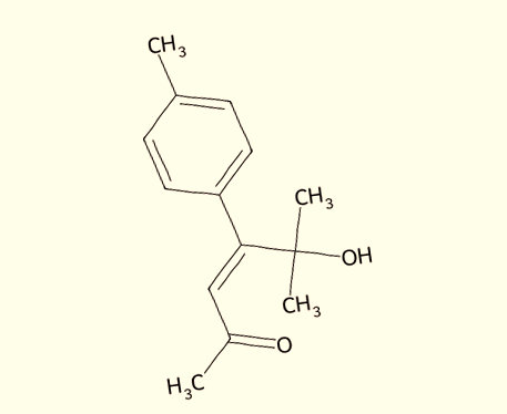 CC(=O)/C=C(/c1ccc(C)cc1)C(C)(C)O